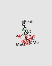 C=C(C)C(=O)OCCCc1cc(-c2ccc(C3CCC(CCCCC)CC3)cc2F)c(CC)c(CCCOC(=O)C(=C)C)c1OCC(COC(=O)C(=O)OC)COC(=O)C(=O)OC